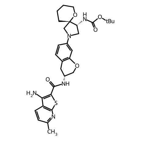 Cc1ccc2c(N)c(C(=O)N[C@H]3COc4cc(N5C[C@@H](NC(=O)OC(C)(C)C)[C@]6(CCCCO6)C5)ccc4C3)sc2n1